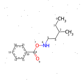 CCC(C)CCNOC(=O)c1ccccc1